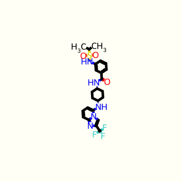 CC(C)S(=O)(=O)Nc1cccc(C(=O)N[C@H]2CC[C@@H](Nc3cccc4nc(C(F)(F)F)cn34)CC2)c1